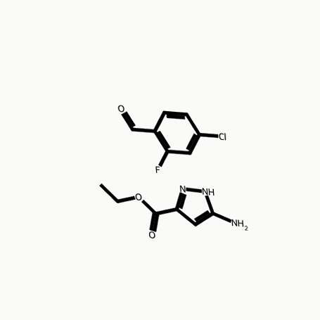 CCOC(=O)c1cc(N)[nH]n1.O=Cc1ccc(Cl)cc1F